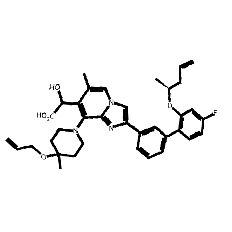 C=CCOC1(C)CCN(c2c(C(O)C(=O)O)c(C)cn3cc(-c4cccc(-c5ccc(F)cc5O[C@@H](C)CC=C)c4)nc23)CC1